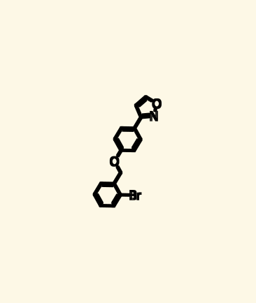 Brc1ccccc1COc1ccc(-c2ccon2)cc1